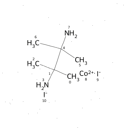 CC(C)(N)C(C)(C)N.[Co+2].[I-].[I-]